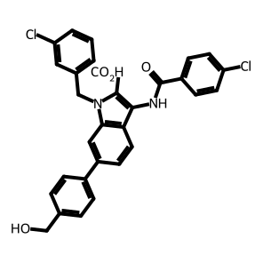 O=C(Nc1c(C(=O)O)n(Cc2cccc(Cl)c2)c2cc(-c3ccc(CO)cc3)ccc12)c1ccc(Cl)cc1